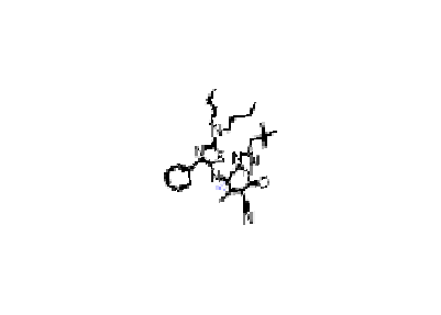 CCCCN(CCCC)c1nc(-c2ccccc2)c(/N=C2/C(C)=C(C#N)C(=O)n3nc(CC(C)(C)C)nc32)s1